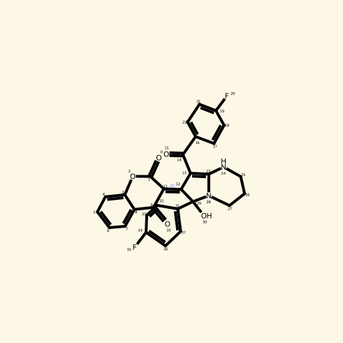 O=C1Oc2ccccc2C(=O)/C1=C1/C(C(=O)c2ccc(F)cc2)=C2NCCCN2C1(O)c1ccc(F)cc1